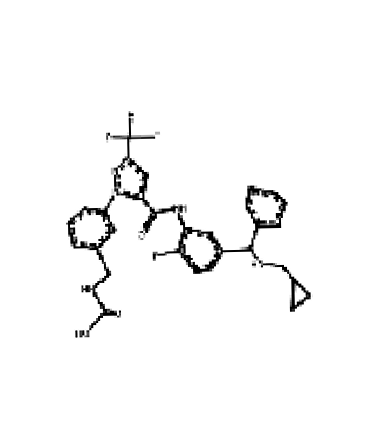 O=C(O)NCc1cccc(-n2nc(C(F)(F)F)cc2C(=O)Nc2cc(C(NCC3CC3)c3ccccc3)ccc2F)c1